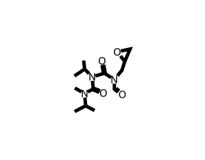 CC(C)N(C)C(=O)N(C(=O)N(C=O)CC1CO1)C(C)C